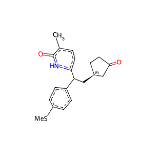 CSc1ccc(C(C[C@H]2CCC(=O)C2)c2ccc(C)c(=O)[nH]2)cc1